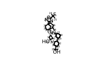 CC(C)(O)c1ccc(-c2cccc(N(CC3CCC4(c5noc(C(C)(C)F)n5)CCCC3C4)C(=O)[C@H]3C[C@@](C)(O)C3)c2)cc1